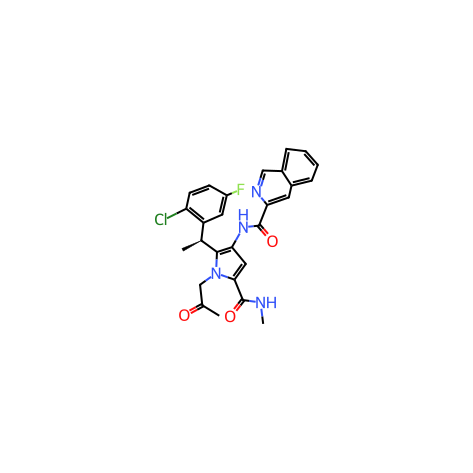 CNC(=O)c1cc(NC(=O)c2cc3ccccc3cn2)c([C@@H](C)c2cc(F)ccc2Cl)n1CC(C)=O